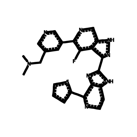 CN(C)Cc1cncc(-c2ncc3[nH]nc(-c4nc5c(-c6cccs6)nccc5[nH]4)c3c2F)c1